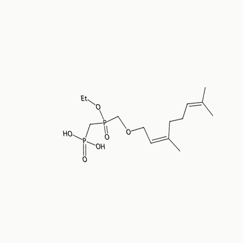 CCOP(=O)(COCC=C(C)CCC=C(C)C)CP(=O)(O)O